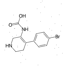 O=C(O)NC1=C(c2ccc(Br)cc2)CCNC1